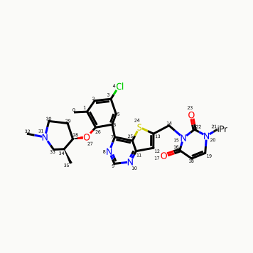 Cc1cc(Cl)cc(-c2ncnc3cc(Cn4c(=O)ccn(C(C)C)c4=O)sc23)c1O[C@@H]1CCN(C)C[C@@H]1C